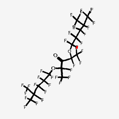 O=C(C(F)(OC(F)(F)C(F)(F)C(F)(F)C(F)(C(F)(F)F)C(F)(F)F)C(F)(F)F)C(F)(OC(F)(F)C(F)(F)C(F)(F)C(F)(C(F)(F)F)C(F)(F)F)C(F)(F)F